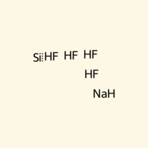 F.F.F.F.[NaH].[Si]